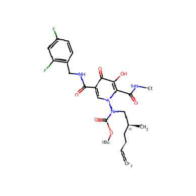 C=CCC[C@H](C)CN(C(=O)OC(C)(C)C)n1cc(C(=O)NCc2ccc(F)cc2F)c(=O)c(O)c1C(=O)NCC